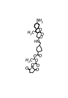 Cc1c(CC(=O)NCC2CCC(C(=O)OC(C)OC(=O)ON3C(=O)CCC3=O)CC2)c(=O)oc2cc(N)ccc12